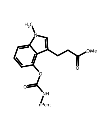 CCCCCNC(=O)Oc1cccc2c1c(CCC(=O)OC)cn2C